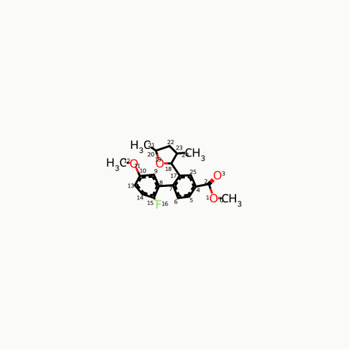 COC(=O)c1ccc(-c2cc(OC)ccc2F)c(C2OC(C)CC2C)c1